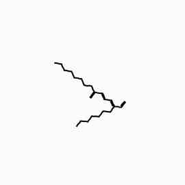 C=CC(=CC=CC(=C)CCCCCCCC)CCCCCCC